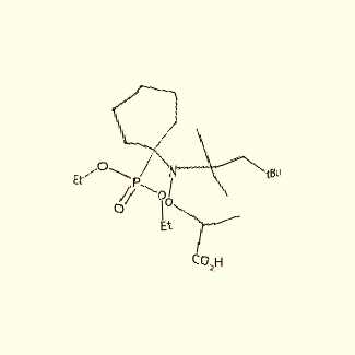 CCOP(=O)(OCC)C1(N(OC(C)C(=O)O)C(C)(C)CC(C)(C)C)CCCCC1